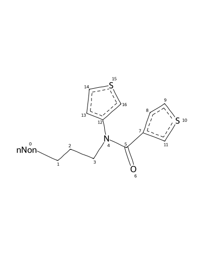 CCCCCCCCCCCCN(C(=O)c1ccsc1)c1ccsc1